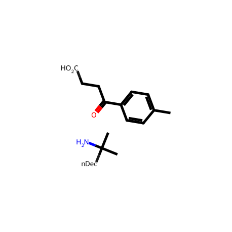 CCCCCCCCCCC(C)(C)N.Cc1ccc(C(=O)CCC(=O)O)cc1